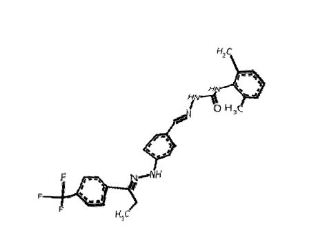 CC/C(=N\Nc1ccc(/C=N/NC(=O)Nc2c(C)cccc2C)cc1)c1ccc(C(F)(F)F)cc1